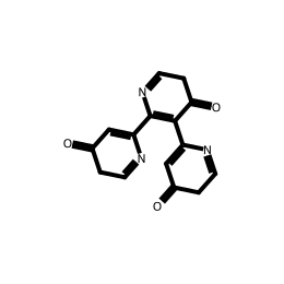 O=C1C=C(C2=C(C3=CC(=O)CC=N3)C(=O)CC=N2)N=CC1